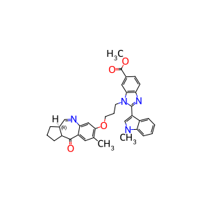 COC(=O)c1ccc2nc(-c3cn(C)c4ccccc34)n(CCCOc3cc4c(cc3C)C(=O)C3CCC[C@H]3C=N4)c2c1